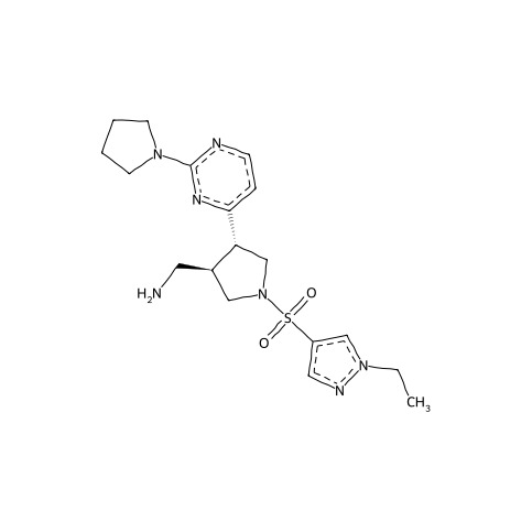 CCn1cc(S(=O)(=O)N2C[C@@H](CN)[C@H](c3ccnc(N4CCCC4)n3)C2)cn1